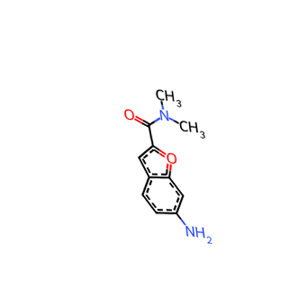 CN(C)C(=O)c1cc2ccc(N)cc2o1